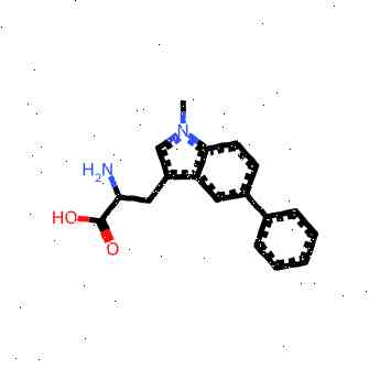 Cn1cc(CC(N)C(=O)O)c2cc(-c3ccccc3)ccc21